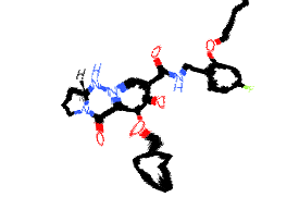 C=CCCOc1cc(F)ccc1CNC(=O)c1cn2c(c(OCc3ccccc3)c1=O)C(=O)N1CCC[C@@H]1N2